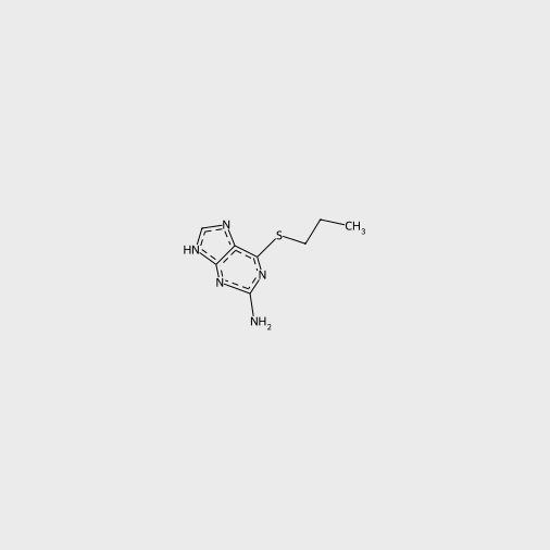 CCCSc1nc(N)nc2[nH]cnc12